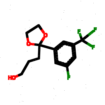 OCCCC1(c2cc(F)cc(C(F)(F)F)c2)OCCO1